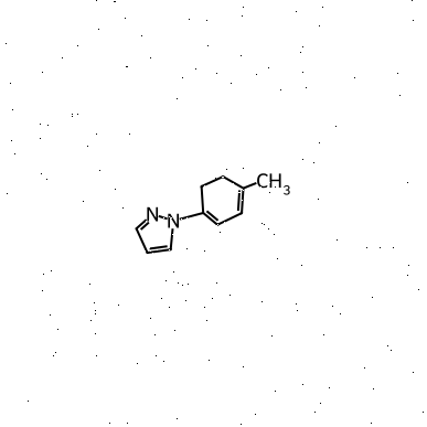 CC1=CC=C(n2cccn2)CC1